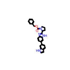 O=C(OCc1ccccc1)N1CCCC1c1nc2ccc(-c3ccc4cc[nH]c4c3)cc2[nH]1